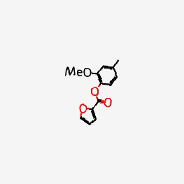 COc1cc(C)ccc1OC(=O)c1ccco1